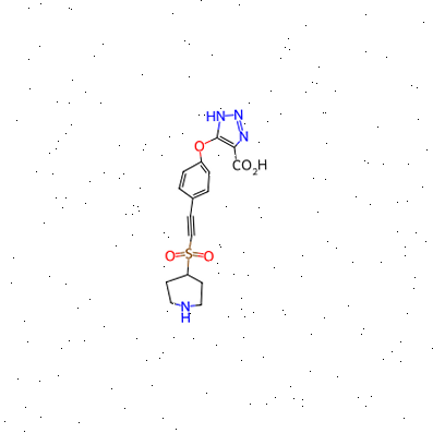 O=C(O)c1nn[nH]c1Oc1ccc(C#CS(=O)(=O)C2CCNCC2)cc1